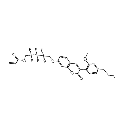 C=CC(=O)OCC(F)(F)C(F)(F)C(F)(F)COc1ccc2cc(-c3ccc(CCCCC)cc3OC)c(=O)oc2c1